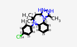 CC1NNC2CC(C)(C)N(c3ccc(Cl)cc3)c3ccccc3N12